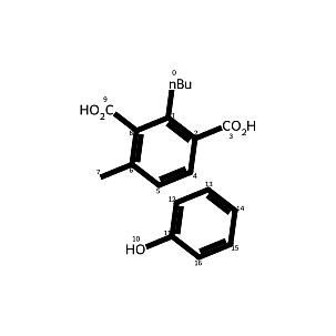 CCCCc1c(C(=O)O)ccc(C)c1C(=O)O.Oc1ccccc1